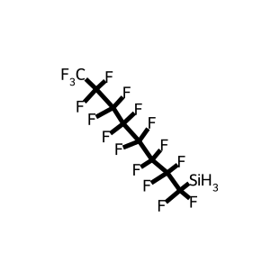 FC(F)(F)C(F)(F)C(F)(F)C(F)(F)C(F)(F)C(F)(F)C(F)(F)C(F)(F)[SiH3]